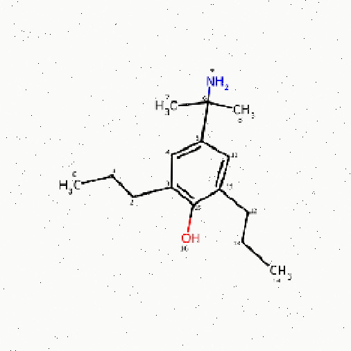 CCCc1cc(C(C)(C)N)cc(CCC)c1O